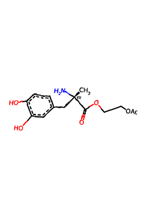 CC(=O)OCCOC(=O)[C@@](C)(N)Cc1ccc(O)c(O)c1